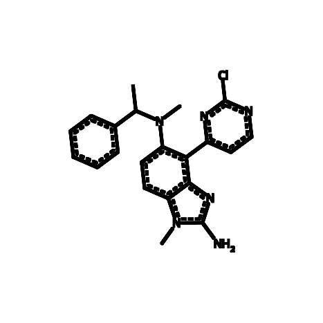 CC(c1ccccc1)N(C)c1ccc2c(nc(N)n2C)c1-c1ccnc(Cl)n1